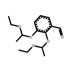 CCOC(C)Oc1cccc(C=O)c1OC(C)OCC